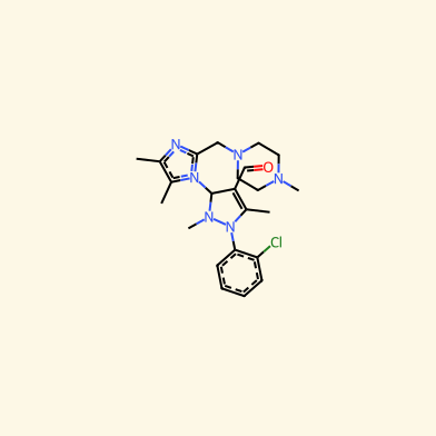 CC1=C(C=O)C(n2c(CN3CCN(C)CC3)nc(C)c2C)N(C)N1c1ccccc1Cl